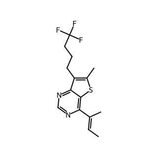 C/C=C(\C)c1ncnc2c(CCCC(F)(F)F)c(C)sc12